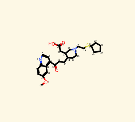 COc1ccc2nccc(C(=O)CCC3CCN(CCSC4CCCC4)CC3CC(=O)O)c2c1